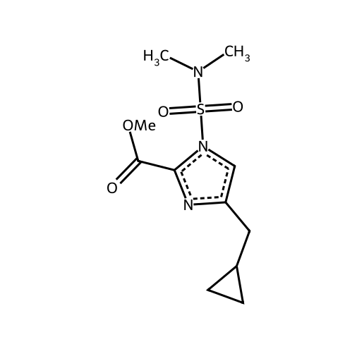 COC(=O)c1nc(CC2CC2)cn1S(=O)(=O)N(C)C